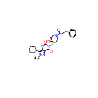 Cn1nc2c(=O)n(CC3(O)CCN(C(=O)CCc4ccccc4)CC3)cnc2c1C1CCCCC1